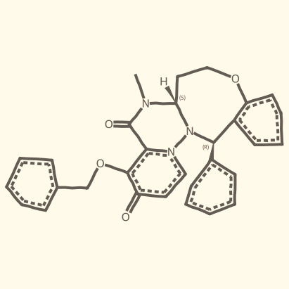 CN1C(=O)c2c(OCc3ccccc3)c(=O)ccn2N2[C@H](c3ccccc3)c3ccccc3OCC[C@@H]12